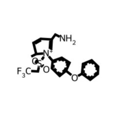 CC1C=CC(CN)=C[N+]1(c1ccc(Oc2ccccc2)cc1)S(=O)(=O)CC(F)(F)F